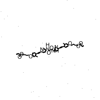 C=CC(=O)OCCCCOc1ccc(C#Cc2ccc(NC(=O)C(=O)Nc3ccc(C#Cc4ccc(OCCCCOC(=O)C=C)cc4C)nc3)cn2)c(C)c1